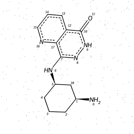 N[C@H]1CCC[C@@H](Nc2n[nH]c(=O)c3cccnc23)C1